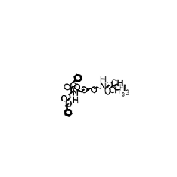 CC(C)(C)OC(=O)NCCOCCOCC(=O)NC(CCC(=O)OCc1ccccc1)C(=O)OCc1ccccc1